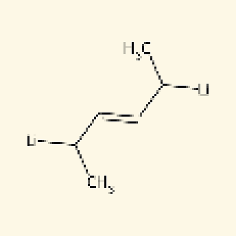 [Li][CH](C)C=C[CH]([Li])C